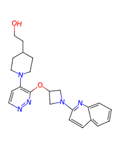 OCCC1CCN(c2ccnnc2OC2CN(c3ccc4ccccc4n3)C2)CC1